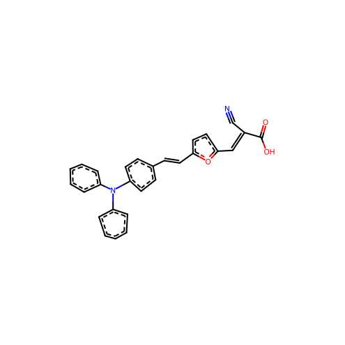 N#C/C(=C\c1ccc(/C=C/c2ccc(N(c3ccccc3)c3ccccc3)cc2)o1)C(=O)O